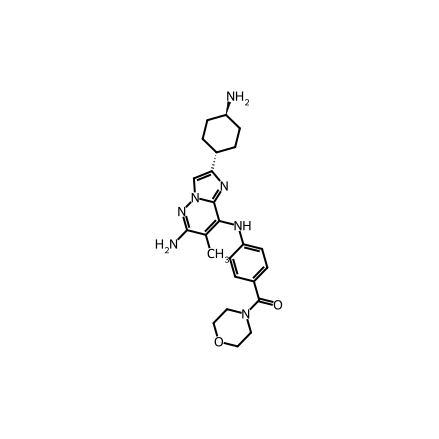 Cc1c(N)nn2cc([C@H]3CC[C@H](N)CC3)nc2c1Nc1ccc(C(=O)N2CCOCC2)cc1